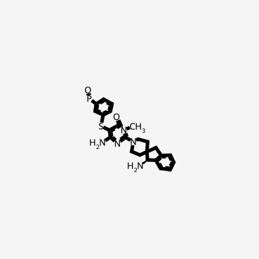 Cn1c(N2CCC3(CC2)Cc2ccccc2[C@H]3N)nc(N)c(Sc2cccc(P=O)c2)c1=O